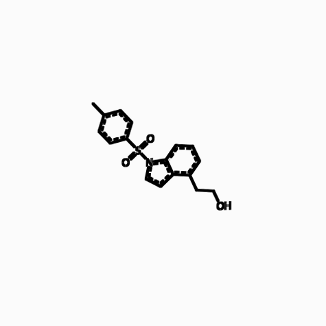 Cc1ccc(S(=O)(=O)n2ccc3c(CCO)cccc32)cc1